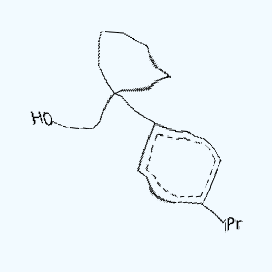 CC(C)c1ccc(C2(CO)CCCC2)cc1